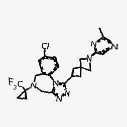 Cc1cncc(N2CC3(CC(c4nnc5n4-c4ccc(Cl)cc4CN(C4(C(F)(F)F)CC4)C5)C3)C2)n1